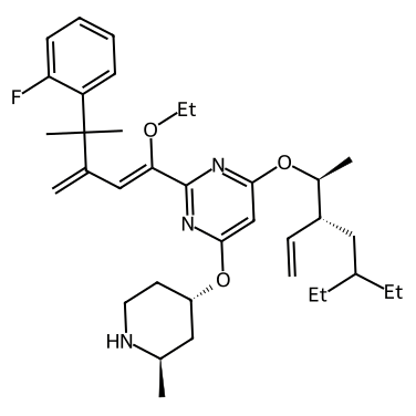 C=C[C@@H](CC(CC)CC)[C@H](C)Oc1cc(O[C@H]2CCN[C@H](C)C2)nc(/C(=C/C(=C)C(C)(C)c2ccccc2F)OCC)n1